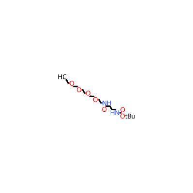 C#CCOCCOCCOCCOCCNC(=O)CCCNC(=O)OC(C)(C)C